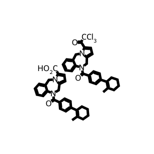 CC1=C(c2ccc(C(=O)N3Cc4ccc(C(=O)C(Cl)(Cl)Cl)n4Cc4ccccc43)cc2)CCCC1.CC1=C(c2ccc(C(=O)N3Cc4ccc(C(=O)O)n4Cc4ccccc43)cc2)CCCC1